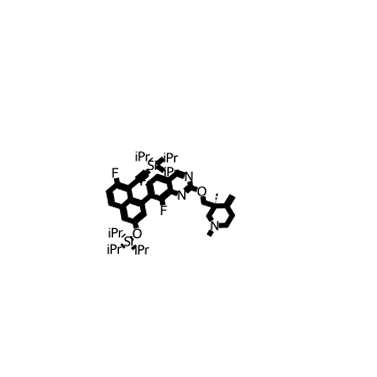 C=C1CCN(C)C[C@@]1(C)COc1ncc2cc(F)c(-c3cc(O[Si](C(C)C)(C(C)C)C(C)C)cc4ccc(F)c(C#C[Si](C(C)C)(C(C)C)C(C)C)c34)c(F)c2n1